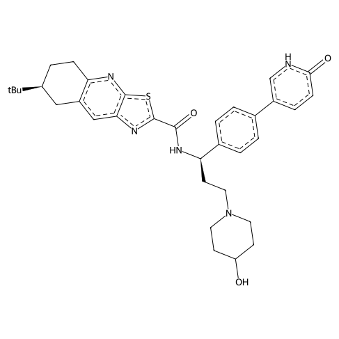 CC(C)(C)[C@H]1CCc2nc3sc(C(=O)N[C@H](CCN4CCC(O)CC4)c4ccc(-c5ccc(=O)[nH]c5)cc4)nc3cc2C1